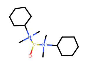 C[N+](C)(C1CCCCC1)[S+]([O-])[N+](C)(C)C1CCCCC1